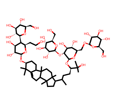 CC(CC[C@@H](O[C@@H]1O[C@H](CO[C@@H]2O[C@H](CO)[C@@H](O)[C@H](O)[C@H]2O)[C@@H](O)[C@H](O)[C@H]1O[C@@H]1O[C@H](CO)[C@@H](O)[C@H](O)[C@H]1O)C(C)(C)O)C1CCC2(C)C3CC=C4C(CC[C@H](O[C@@H]5O[C@H](CCO)C([C@@H]6O[C@H](CO)[C@@H](O)[C@H](O)[C@H]6O)[C@H](O)[C@H]5O)C4(C)C)C3(C)CCC12C